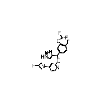 Fc1ccc(C(Oc2cc(N3CC(F)C3)ccn2)c2c[nH]nn2)cc1OC(F)F